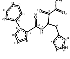 NC(=O)C(=O)C(Cc1cc[nH]n1)NC(=O)c1cncn1-c1ccccn1